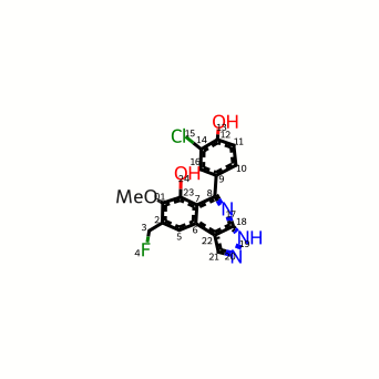 COc1c(CF)cc2c(c(-c3ccc(O)c(Cl)c3)nc3[nH]ncc32)c1O